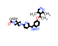 COC(=O)N1CC2(C1)CN(c1ccc(-c3n[nH]c4ccc(OC(C)c5c(C)cnnc5C)cc34)cn1)C2